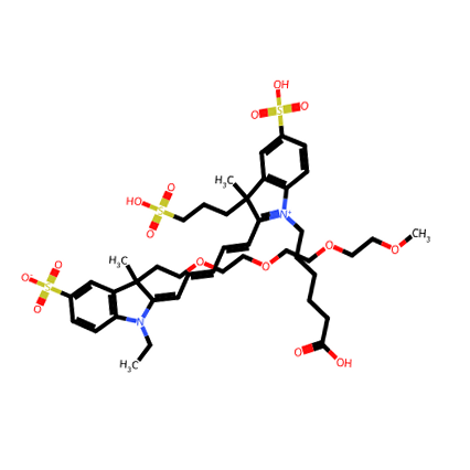 CCN1/C(=C/C=C/C=C/C2=[N+](CCCCCC(=O)O)c3ccc(S(=O)(=O)O)cc3C2(C)CCCS(=O)(=O)O)C(C)(CCOCCOCCOCCOC)c2cc(S(=O)(=O)[O-])ccc21